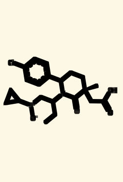 CCC(C[S+]([O-])C1CC1)N1C(=O)[C@@](C)(CC(=O)O)CCC1c1ccc(Cl)cc1